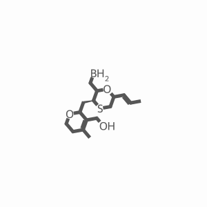 BCC1OC(/C=C/C)CS[C@H]1CC1OCCC(C)=C1CO